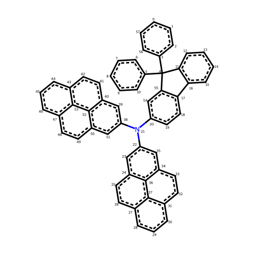 c1ccc(C2(c3ccccc3)c3ccccc3-c3ccc(N(c4cc5ccc6cccc7ccc(c4)c5c67)c4cc5ccc6cccc7ccc(c4)c5c67)cc32)cc1